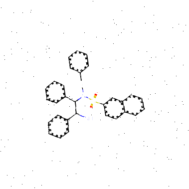 NC(c1ccccc1)C(c1ccccc1)[N]([Ru][c]1ccccc1)S(=O)(=O)c1ccc2ccccc2c1